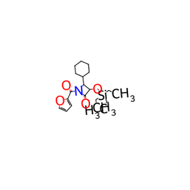 CC[Si](CC)(CC)OC1C(=O)N(C(=O)c2ccco2)C1C1CCCCC1